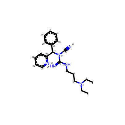 CCN(CC)CCCNC(=N)N(C#N)C(c1ccccc1)c1ccccn1